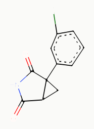 O=C1NC(=O)C2(c3cccc(Cl)c3)CC12